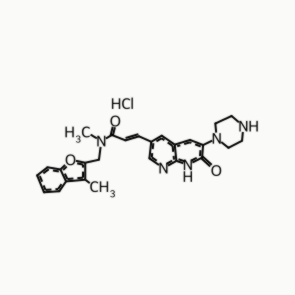 Cc1c(CN(C)C(=O)/C=C/c2cnc3[nH]c(=O)c(N4CCNCC4)cc3c2)oc2ccccc12.Cl